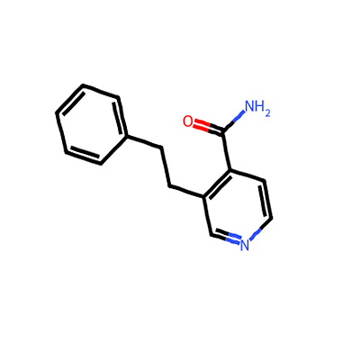 NC(=O)c1ccncc1CCc1ccccc1